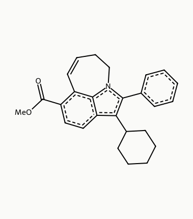 COC(=O)c1ccc2c(C3CCCCC3)c(-c3ccccc3)n3c2c1C=CCC3